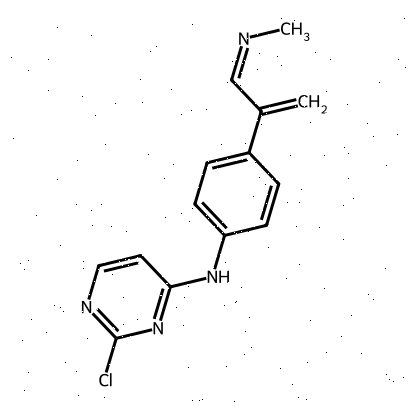 C=C(/C=N\C)c1ccc(Nc2ccnc(Cl)n2)cc1